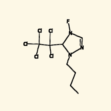 CCCCN1N=CN(F)C1C(Cl)(Cl)C(Cl)(Cl)Cl